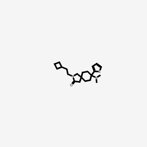 CN(C)C1(c2cccs2)CCC2(CC1)CC(=O)N(CCC1CCC1)C2